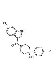 O=C(c1c[nH]c2cc(Cl)ccc12)N1CCC(O)(c2ccc(Br)cc2)CC1